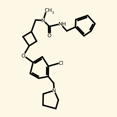 CN(CC1CC(Oc2ccc(CN3CCCC3)c(Cl)c2)C1)C(=O)NCc1ccccc1